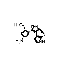 CC[C@@H]1C[C@H](N)C[C@@H]1c1nnc2cnc3[nH]ccc3n12